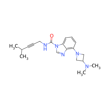 CC(C)C#CCNC(=O)n1cnc2c(N3CC(N(C)C)C3)cccc21